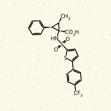 C[C@@H]1[C@H](c2ccccc2)[C@]1(NS(=O)(=O)c1ccc(-c2ccc(C(F)(F)F)cc2)s1)C(=O)O